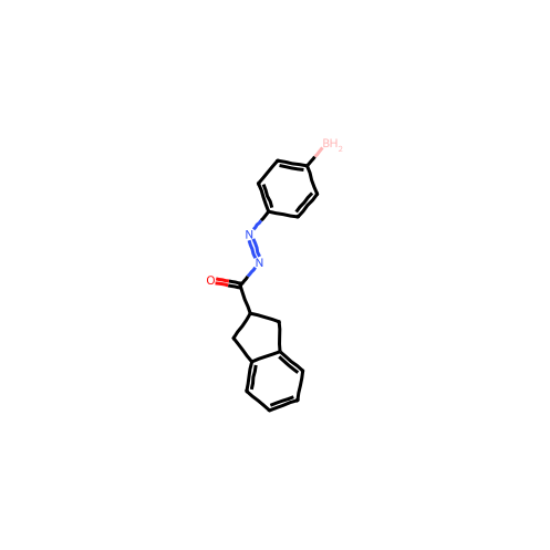 Bc1ccc(N=NC(=O)C2Cc3ccccc3C2)cc1